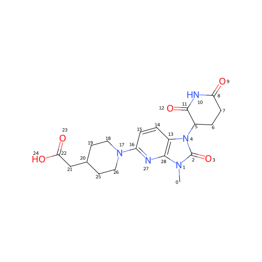 Cn1c(=O)n(C2CCC(=O)NC2=O)c2ccc(N3CCC(CC(=O)O)CC3)nc21